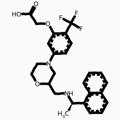 C[C@@H](NCC1CN(c2ccc(C(F)(F)F)c(OCC(=O)O)c2)CCO1)c1cccc2ccccc12